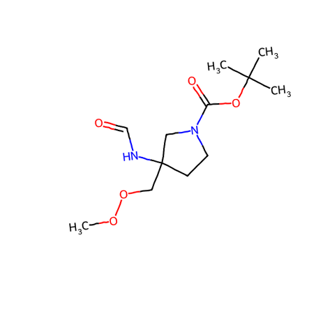 COOCC1(NC=O)CCN(C(=O)OC(C)(C)C)C1